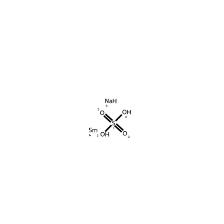 O=S(=O)(O)O.[NaH].[Sm]